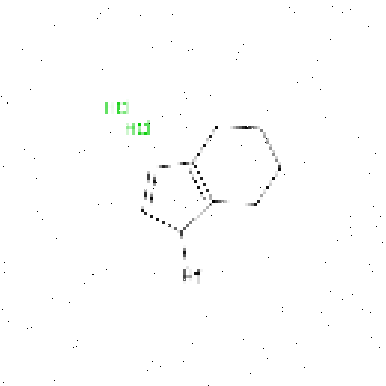 Cl.Cl.[Hf][CH]1C=CC2=C1CCCC2